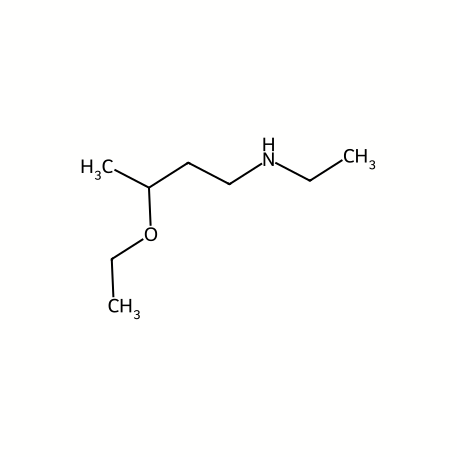 CCNCCC(C)OCC